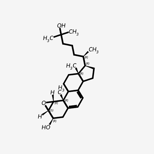 C[C@H](CCCC(C)(C)O)[C@H]1CCC2C3=CC=C4C[C@@H](O)[C@@H]5O[C@@H]5[C@]4(C)C3CC[C@@]21C